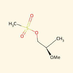 CO[C@H](C)COS(C)(=O)=O